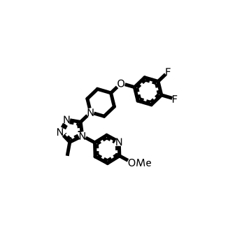 COc1ccc(-n2c(C)nnc2N2CCC(Oc3ccc(F)c(F)c3)CC2)cn1